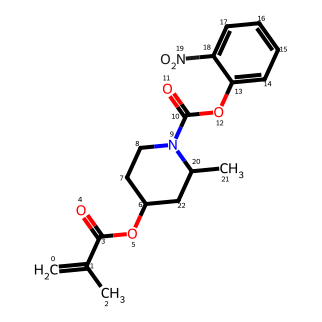 C=C(C)C(=O)OC1CCN(C(=O)Oc2ccccc2[N+](=O)[O-])C(C)C1